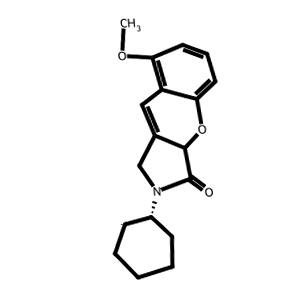 COc1cccc2c1C=C1CN([C@H]3[CH]CCCC3)C(=O)C1O2